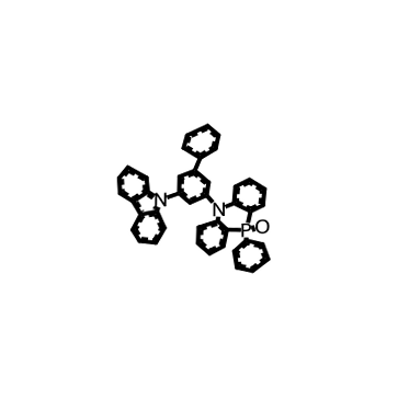 O=P1(c2ccccc2)c2ccccc2N(c2cc(-c3ccccc3)cc(-n3c4ccccc4c4ccccc43)c2)c2ccccc21